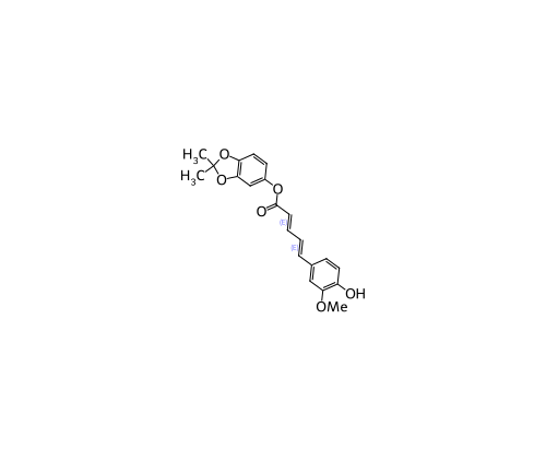 COc1cc(/C=C/C=C/C(=O)Oc2ccc3c(c2)OC(C)(C)O3)ccc1O